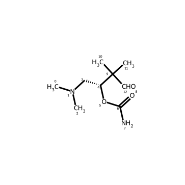 CN(C)C[C@@H](OC(N)=O)C(C)(C)C=O